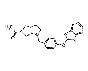 CC(=O)N1CC2CCN(Cc3ccc(Oc4nc5ccccc5s4)cc3)C2C1